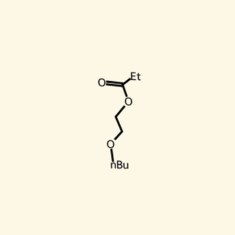 [CH2]CC(=O)OCCOCCCC